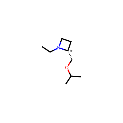 CCN1CC[C@@H]1COC(C)C